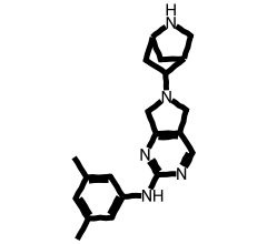 Cc1cc(C)cc(Nc2ncc3c(n2)CN(C2CC4CC2CN4)C3)c1